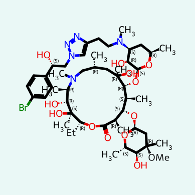 CC[C@H]1OC(=O)[C@H](C)[C@@H](O[C@H]2C[C@@](C)(OC)[C@@H](O)[C@H](C)O2)[C@H](C)[C@@H](O[C@@H]2O[C@H](C)C[C@H](N(C)CCc3cn(C[C@@H](O)c4ccc(Br)cc4)nn3)[C@H]2O)[C@](C)(O)C[C@@H](C)CN(C)[C@H](C)[C@@H](O)[C@]1(C)O